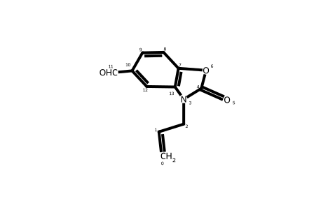 C=CCn1c(=O)oc2ccc(C=O)cc21